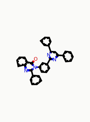 O=c1c2ccccc2nc(-c2ccccc2)n1-c1cccc(-c2nc(-c3ccccc3)cc(-c3ccccc3)n2)c1